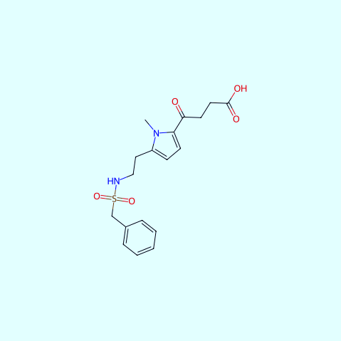 Cn1c(CCNS(=O)(=O)Cc2ccccc2)ccc1C(=O)CCC(=O)O